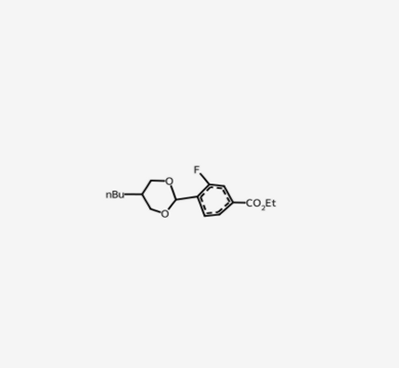 CCCCC1COC(c2ccc(C(=O)OCC)cc2F)OC1